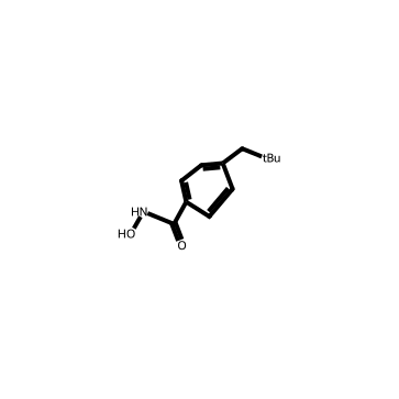 CC(C)(C)Cc1ccc(C(=O)NO)cc1